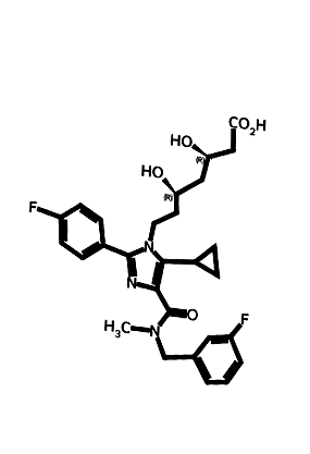 CN(Cc1cccc(F)c1)C(=O)c1nc(-c2ccc(F)cc2)n(CC[C@@H](O)C[C@@H](O)CC(=O)O)c1C1CC1